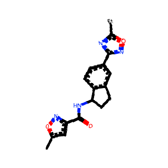 CCc1nc(-c2ccc3c(c2)CCC3NC(=O)c2cc(C)on2)no1